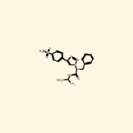 CC(NC(=O)[C@H](Cc1ccccc1)n1cc(-c2ccc(S(N)(=O)=O)cc2)nn1)C(=O)O